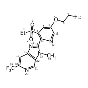 CCS(=O)(=O)c1cc(OCCF)cnc1-c1nc2cc(C(F)(F)F)ncc2n1C